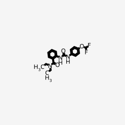 CCN(CC)C(=O)c1ccccc1NC(=O)Nc1ccc(OC(F)F)cc1